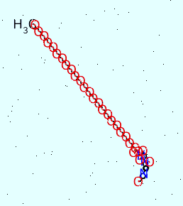 COCCOCCOCCOCCOCCOCCOCCOCCOCCOCCOCCOCCOCCOCCOCCOCCOCCOCCOCCOCCOCCOCCOC(=O)OCN1C(=O)CCC(N2Cc3cc(N4CCC(C=O)CC4)ccc3C2=O)C1=O